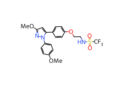 COc1ccc(-n2nc(OC)cc2-c2ccc(OCCNS(=O)(=O)C(F)(F)F)cc2)cc1